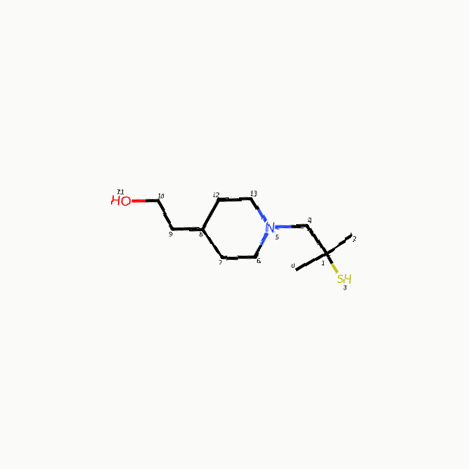 CC(C)(S)CN1CCC(CCO)CC1